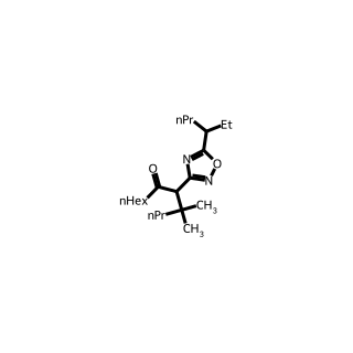 CCCCCCC(=O)C(c1noc(C(CC)CCC)n1)C(C)(C)CCC